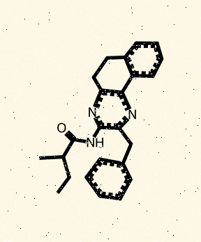 CCC(C)C(=O)Nc1nc2c(nc1Cc1ccccc1)-c1ccccc1CC2